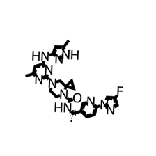 Cc1cc(Nc2cc(C)[nH]n2)nc(N2CCN(C(=O)N[C@@H](C)c3ccc(-n4cc(F)cn4)nc3)C3(CC3)C2)n1